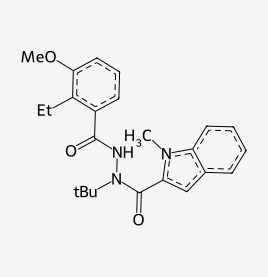 CCc1c(OC)cccc1C(=O)NN(C(=O)c1cc2ccccc2n1C)C(C)(C)C